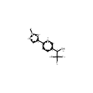 Cn1ncc(-c2ccc(C(O)C(F)(F)F)cn2)n1